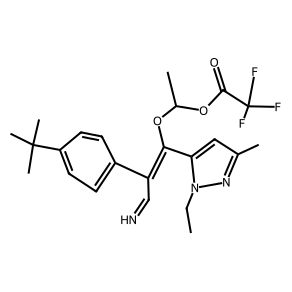 CCn1nc(C)cc1/C(OC(C)OC(=O)C(F)(F)F)=C(\C=N)c1ccc(C(C)(C)C)cc1